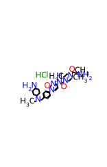 CCN(Cc1ccc(-n2ccc(NC(=O)N3CCN(C(=O)C(C)(C)N)C[C@H]3C)nc2=O)cc1)[C@H]1CC[C@H](N)CC1.Cl